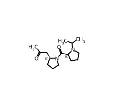 CC(=O)C[C@@H]1CCCN1C(=O)[C@@H]1CCCN1C(C)C